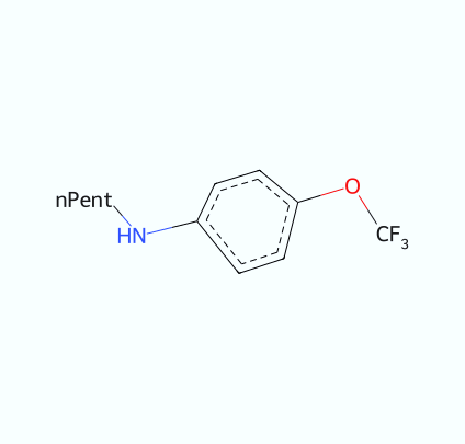 CCCCCNc1ccc(OC(F)(F)F)cc1